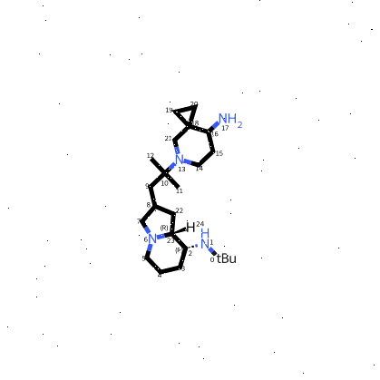 CC(C)(C)N[C@@H]1CCCN2CC(CC(C)(C)N3CCC(N)C4(CC4)C3)C[C@H]12